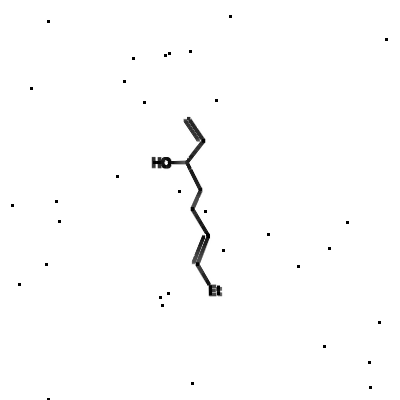 C=CC(O)CC/C=C/CC